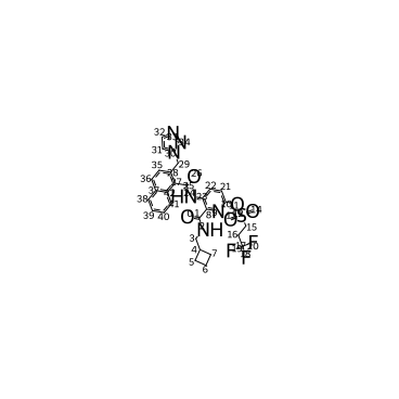 O=C(NCC1CCC1)c1nc(OS(=O)(=O)CCC(F)(F)F)ccc1NC(=O)c1c(Cn2ccnn2)ccc2ccccc12